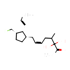 CCCCCC/C=C/[C@H]1[C@H](CF)CC[C@@H]1C/C=C\CC(C)C(O)(O)C(=O)OC